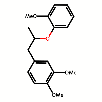 COc1ccc(CC(C)Oc2ccccc2OC)cc1OC